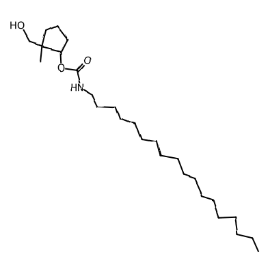 CCCCCCCCCCCCCCCCCCNC(=O)OC1CCCC1(C)CO